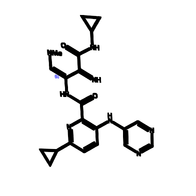 CN/C=C(/NC(=O)c1nc(C2CC2)ccc1Nc1cncnc1)C(=N)C(=O)NC1CC1